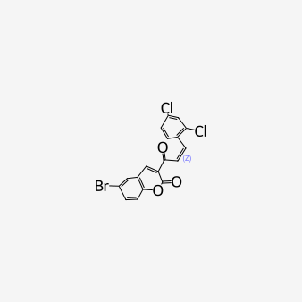 O=C(/C=C\c1ccc(Cl)cc1Cl)c1cc2cc(Br)ccc2oc1=O